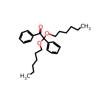 CCCCCCOC(OCCCCCC)(C(=O)c1ccccc1)c1ccccc1